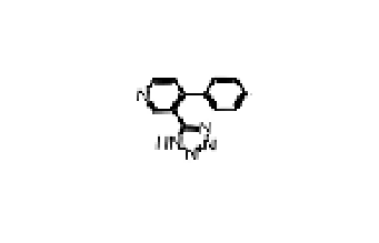 [c]1ccc(-c2ccncc2-c2nnn[nH]2)cc1